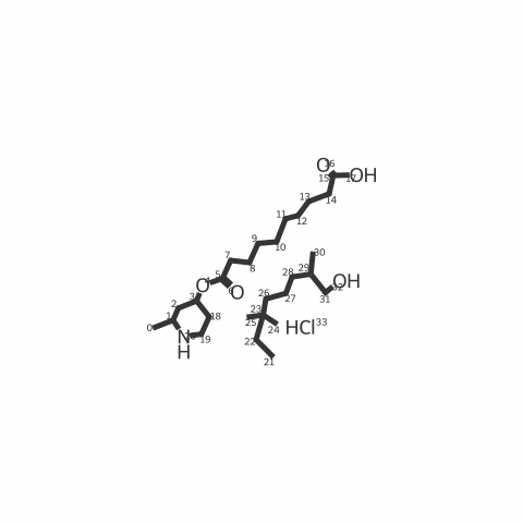 CC1CC(OC(=O)CCCCCCCCC(=O)O)CCN1.CCC(C)(C)CCCC(C)CO.Cl